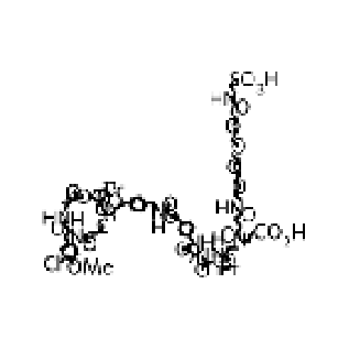 COc1ccc(CC2NC(=O)/C=C/C[C@@H]([C@H](C)[C@H]3O[C@@H]3c3ccc(CNC(=O)OCc4ccc(NC(=O)[C@H](C)NC(=O)[C@@H](NC(=O)CCN(CCC(=O)O)C(=O)CCC(=O)NCCOCCOCCOCCOCCC(=O)NCCS(=O)(=O)O)C(C)C)cc4)cc3)OC(=O)[C@H](CC(C)C)OC(=O)C(C)(C)CNC2=O)cc1Cl